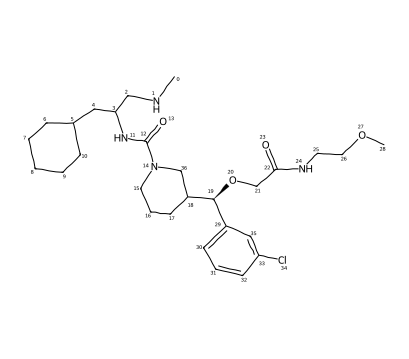 CNCC(CC1CCCCC1)NC(=O)N1CCCC([C@@H](OCC(=O)NCCOC)c2cccc(Cl)c2)C1